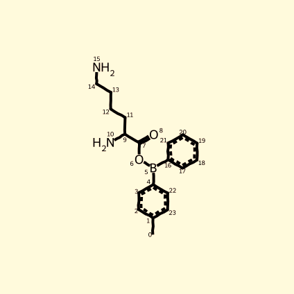 Cc1ccc(B(OC(=O)C(N)CCCCN)c2ccccc2)cc1